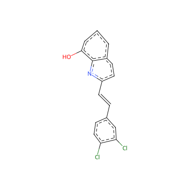 Oc1cccc2ccc(/C=C/c3ccc(Cl)c(Cl)c3)nc12